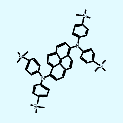 C[Si](C)(C)c1ccc(N(c2ccc([Si](C)(C)C)cc2)c2ccc3ccc4c(N(c5ccc([Si](C)(C)C)cc5)c5ccc([Si](C)(C)C)cc5)ccc5ccc2c3c54)cc1